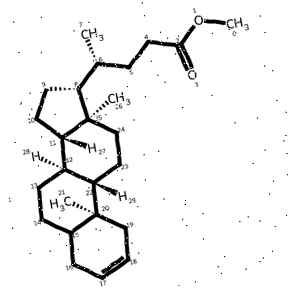 COC(=O)CC[C@@H](C)[C@H]1CC[C@H]2[C@@H]3CCC4CC=CC[C@]4(C)[C@H]3CC[C@]12C